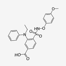 CCN(c1ccccc1)c1cc(C(=O)O)ccc1S(=O)(=O)NOc1ccc(OC)cc1